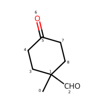 CC1(C=O)CCC(=O)CC1